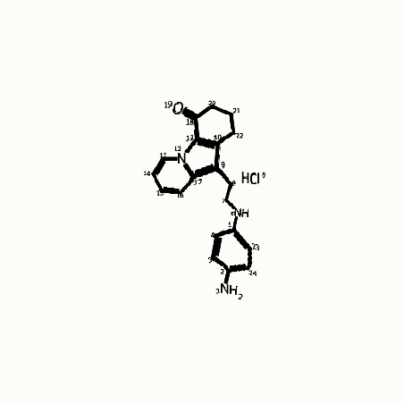 Cl.Nc1ccc(NCCc2c3c(n4ccccc24)C(=O)CCC3)cc1